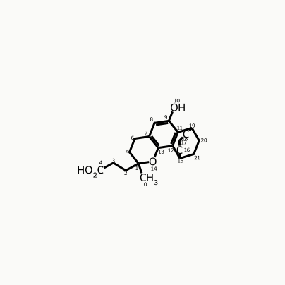 CC1(CCC(=O)O)CCc2cc(O)c3c(c2O1)C1CCCC3CC1